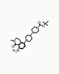 CN1CCc2c(N3CCC(N4CCN(C(=O)OC(C)(C)C)CC4)CC3)ccc(N)c2C1=O